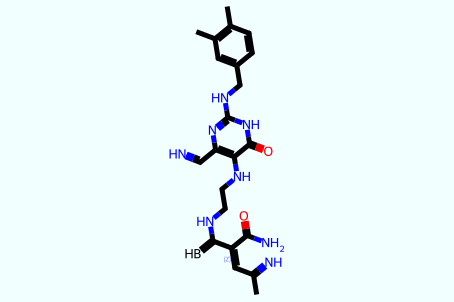 B=C(NCCNc1c(C=N)nc(NCc2ccc(C)c(C)c2)[nH]c1=O)/C(=C/C(C)=N)C(N)=O